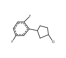 Fc1ccc(F)c(C2CCC(Cl)C2)c1